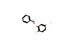 Oc1ccc(F)c(OCc2ccccc2)c1